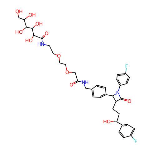 O=C(COCCOCCNC(=O)C(O)C(O)C(O)C(O)CO)NCc1ccc(C2C(CCC(O)c3ccc(F)cc3)C(=O)N2c2ccc(F)cc2)cc1